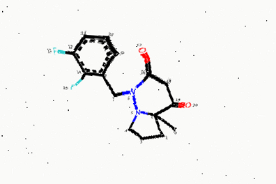 CC12CCCN1N(Cc1cccc(F)c1F)C(=O)CC2=O